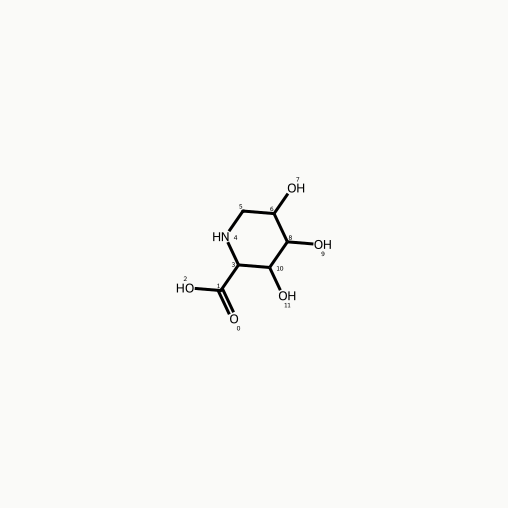 O=C(O)C1NCC(O)C(O)C1O